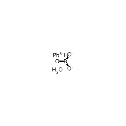 O.[O-]B([O-])[O-].[PbH+3]